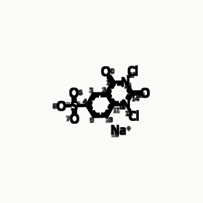 O=c1c2cc(S(=O)(=O)[O-])ccc2n(Cl)c(=O)n1Cl.[Na+]